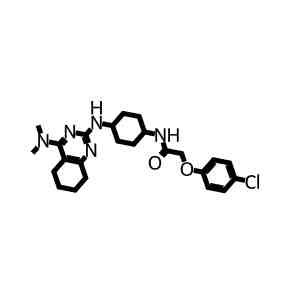 CN(C)c1nc(NC2CCC(NC(=O)COc3ccc(Cl)cc3)CC2)nc2c1CCCC2